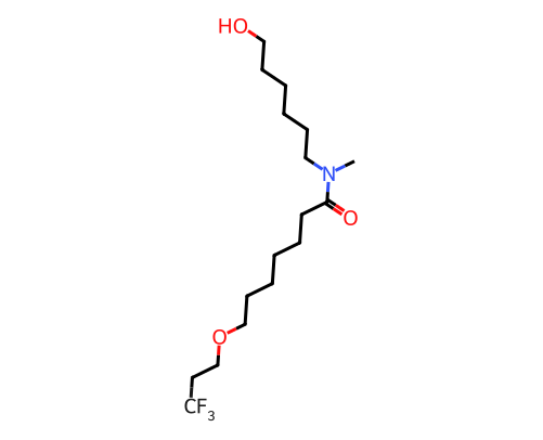 CN(CCCCCCO)C(=O)CCCCCCOCCC(F)(F)F